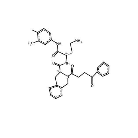 Cc1ccc(NC(=O)[C@H](CCN)NC(=O)[C@@H]2Cc3ccccc3CN2C(=O)CCC(=O)c2ccccc2)cc1C(F)(F)F